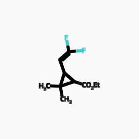 CCOC(=O)C1C(C=C(F)F)C1(C)C